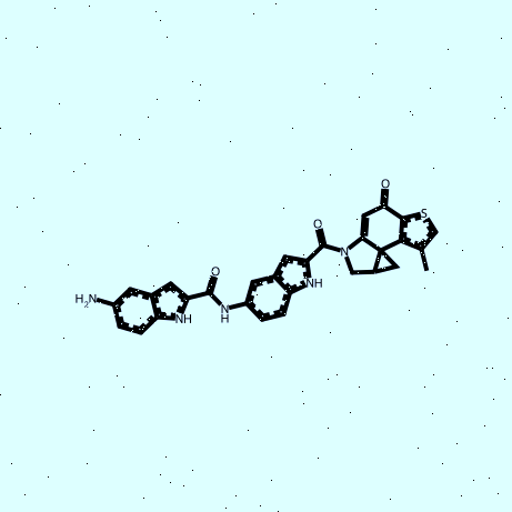 Cc1csc2c1C13CC1CN(C(=O)c1cc4cc(NC(=O)c5cc6cc(N)ccc6[nH]5)ccc4[nH]1)C3=CC2=O